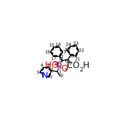 CC(c1cccnc1)P(=O)(O)C(c1ccccc1)C(C(=O)O)c1ccccc1